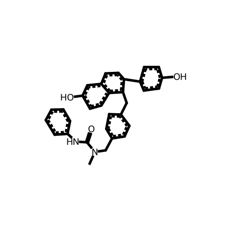 CN(Cc1ccc(Cc2c(-c3ccc(O)cc3)ccc3cc(O)ccc23)cc1)C(=O)Nc1ccccc1